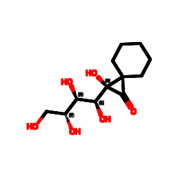 O=C1C2(CCCCC2)[C@@]1(O)[C@@H](O)[C@H](O)[C@H](O)CO